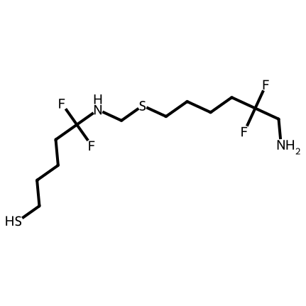 NCC(F)(F)CCCCSCNC(F)(F)CCCCS